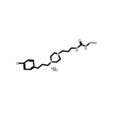 CCCCCCNC(=O)NCCCN1CCN(CCCc2ccc(Cl)cc2)CC1.Cl.Cl